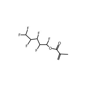 C=C(C)C(=O)OC(F)C(F)C(F)C(F)C(F)F